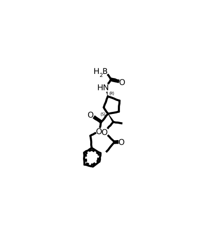 BC(=O)N[C@@H]1CC[C@@](C(=O)OCc2ccccc2)(C(C)OC(C)=O)C1